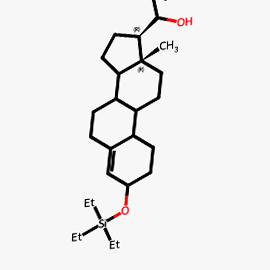 CC[Si](CC)(CC)OC1C=C2CCC3C(CC[C@]4(C)C3CC[C@H]4C(C)O)C2CC1